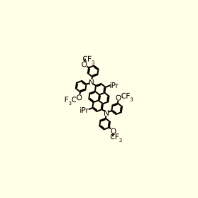 CC(C)c1cc(N(c2cccc(OC(F)(F)F)c2)c2cccc(OC(F)(F)F)c2)c2ccc3c(C(C)C)cc(N(c4cccc(OC(F)(F)F)c4)c4cccc(OC(F)(F)F)c4)c4ccc1c2c34